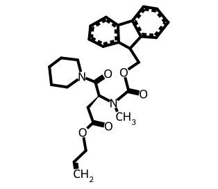 C=CCOC(=O)C[C@@H](C(=O)N1CCCCC1)N(C)C(=O)OCC1c2ccccc2-c2ccccc21